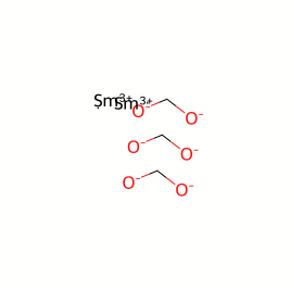 [O-]C[O-].[O-]C[O-].[O-]C[O-].[Sm+3].[Sm+3]